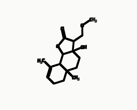 COCC1C(=O)OC2C3C(C)=CCCC3(C)CCC12O